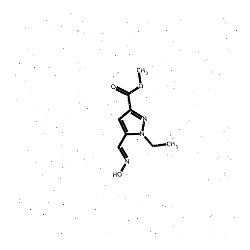 CCn1nc(C(=O)OC)cc1/C=N/O